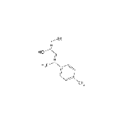 CC/C=C(O)\C=C(/C)c1ccc(C(F)(F)F)cc1